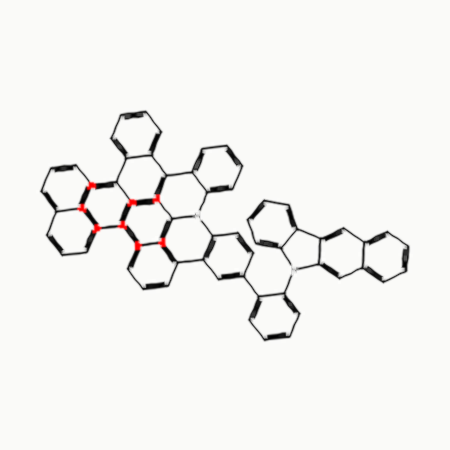 c1ccc(-c2cc(-c3ccccc3-n3c4ccccc4c4cc5ccccc5cc43)ccc2N(c2ccc(-c3cccc4ccccc34)cc2)c2ccccc2-c2cc3ccccc3c3ccccc23)cc1